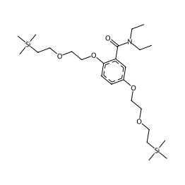 CCN(CC)C(=O)c1cc(OCCOCC[Si](C)(C)C)ccc1OCCOCC[Si](C)(C)C